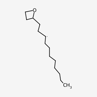 CCCCCCCC[CH]CCC1CCO1